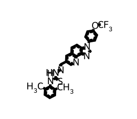 Cc1cccc(C)c1NC(=S)N/N=C/c1cnc2c(ccc3c2ncn3-c2ccc(OC(F)(F)F)cc2)c1